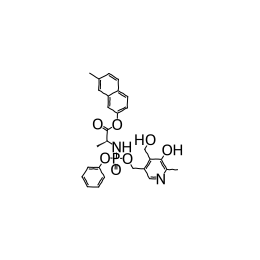 Cc1ccc2ccc(OC(=O)[C@H](C)NP(=O)(OCc3cnc(C)c(O)c3CO)Oc3ccccc3)cc2c1